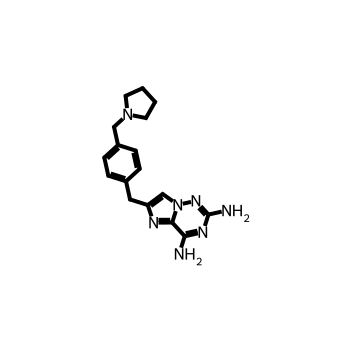 Nc1nc(N)c2nc(Cc3ccc(CN4CCCC4)cc3)cn2n1